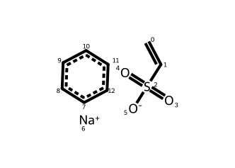 C=CS(=O)(=O)[O-].[Na+].c1ccccc1